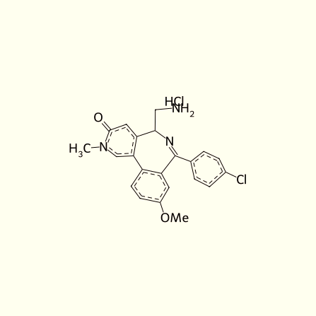 COc1ccc2c(c1)C(c1ccc(Cl)cc1)=NC(CN)c1cc(=O)n(C)cc1-2.Cl